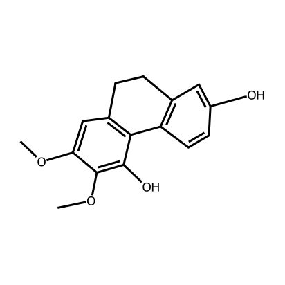 COc1cc2c(c(O)c1OC)-c1ccc(O)cc1CC2